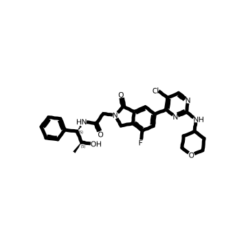 C[C@H](O)[C@@H](NC(=O)CN1Cc2c(F)cc(-c3nc(NC4CCOCC4)ncc3Cl)cc2C1=O)c1ccccc1